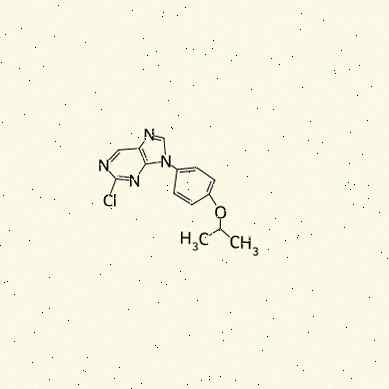 CC(C)Oc1ccc(-n2cnc3cnc(Cl)nc32)cc1